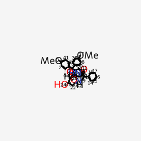 COc1ccc(C(OC2=C3NC(=O)C(c4ccccc4)=CN3[C@H]3CC(O)[C@@H]2O3)(c2ccccc2)c2ccc(OC)cc2)cc1